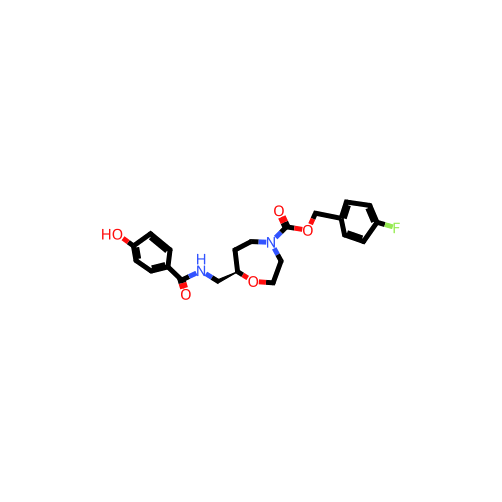 O=C(NC[C@H]1CCN(C(=O)OCc2ccc(F)cc2)CCO1)c1ccc(O)cc1